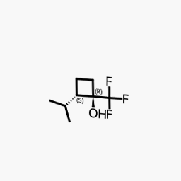 CC(C)[C@@H]1CC[C@]1(O)C(F)(F)F